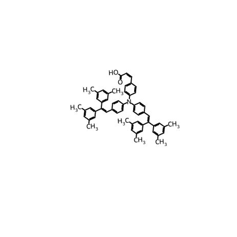 Cc1cc(C)cc(C(=Cc2ccc(N(c3ccc(C=C(c4cc(C)cc(C)c4)c4cc(C)cc(C)c4)cc3)c3ccc(/C=C\C(=O)O)cc3)cc2)c2cc(C)cc(C)c2)c1